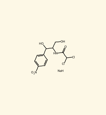 O=C(NC(CO)C(O)c1ccc([N+](=O)[O-])cc1)C(Cl)Cl.[NaH]